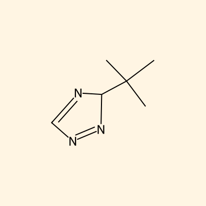 CC(C)(C)C1N=CN=N1